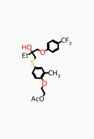 CCC(O)(COc1ccc(C(F)(F)F)cc1)CSc1ccc(OCCOC(C)=O)c(C)c1